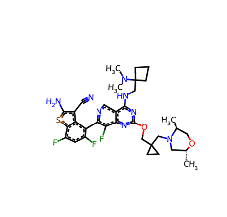 C[C@@H]1CN(CC2(COc3nc(NCC4(N(C)C)CCC4)c4cnc(-c5c(F)cc(F)c6sc(N)c(C#N)c56)c(F)c4n3)CC2)[C@@H](C)CO1